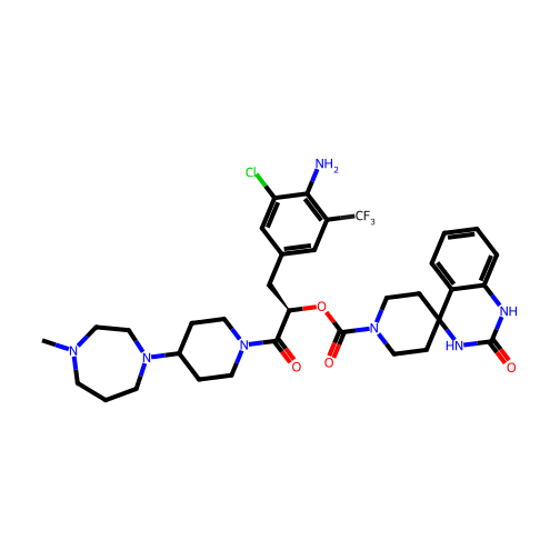 CN1CCCN(C2CCN(C(=O)[C@@H](Cc3cc(Cl)c(N)c(C(F)(F)F)c3)OC(=O)N3CCC4(CC3)NC(=O)Nc3ccccc34)CC2)CC1